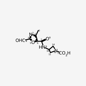 Cc1nc(C=O)oc1C(=O)NC1CN(C(=O)O)C1